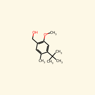 COc1cc(C(C)(C)C)c(C)cc1CO